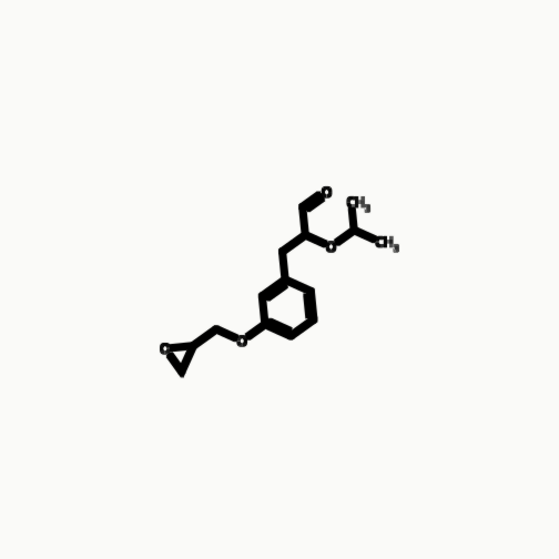 CC(C)OC(C=O)Cc1cccc(OCC2CO2)c1